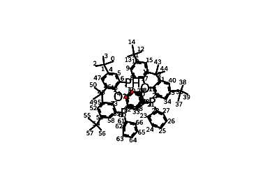 CC(C)(C)c1cc(Pc2cc(C(C)(C)C)cc3c2Oc2c(P(c4ccccc4)c4ccccc4)cc(C(C)(C)C)cc2C3(C)C)c2c(c1)C(C)(C)c1cc(C(C)(C)C)cc(P(c3ccccc3)c3ccccc3)c1O2